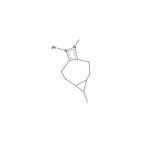 CC1C2CCc3c(n(C(C)C)n3C)CCC12